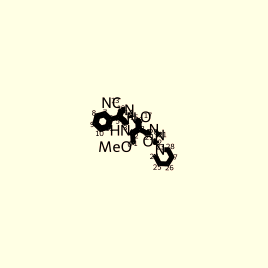 COCc1[nH]c2c(-c3ccccc3)c(C#N)nn2c(=O)c1-c1nnc(N2CCCCC2)o1